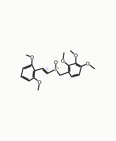 COc1cccc(OC)c1/C=C/[S+]([O-])Cc1ccc(OC)c(OC)c1OC